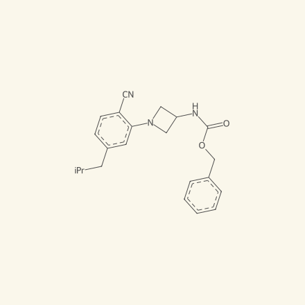 CC(C)Cc1ccc(C#N)c(N2CC(NC(=O)OCc3ccccc3)C2)c1